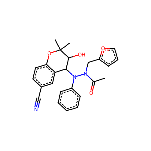 CC(=O)N(Cc1ccco1)N(c1ccccc1)C1c2cc(C#N)ccc2OC(C)(C)C1O